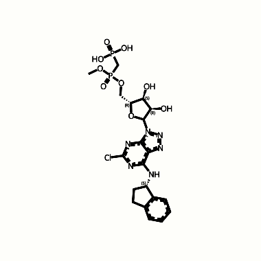 COP(=O)(CP(=O)(O)O)OC[C@H]1OC(n2nnc3c(N[C@H]4CCc5ccccc54)nc(Cl)nc32)[C@H](O)[C@@H]1O